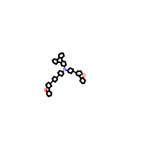 c1ccc2c(c1)oc1ccc(-c3ccc(-c4ccc(N(c5ccc(-c6ccc7oc8ccccc8c7c6)cc5)c5ccc6c7ccccc7c7ccccc7c6c5)cc4)cc3)cc12